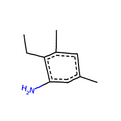 CCc1c(C)cc(C)cc1N